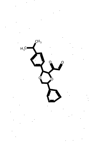 CC(C)c1ccc(C2OCC(c3ccccc3)OC2C(=O)C=O)cc1